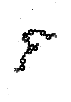 O=C(/C=C/C(=O)ON1C(=O)CCC1c1ccc(CCCN2CCN(c3cccc(C(F)(F)F)c3)CC2)cc1)ON1C(=O)CCC1c1ccc(CCCN2CCN(c3cccc(C(F)(F)F)c3)CC2)cc1